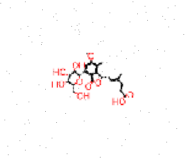 COc1cc([C@@H]2O[C@H](CO)[C@@H](O)[C@H](O)[C@H]2O)c2c(c1C)[C@H](C/C=C(\C)CCC(=O)O)OC2=O